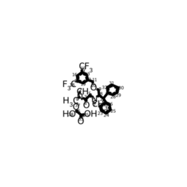 CN(C)C(=O)CN(C)C(COCc1cc(C(F)(F)F)cc(C(F)(F)F)c1)C(c1ccccc1)c1ccccc1.O=C(O)C(=O)O